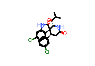 CC(C)C(=O)[C@@H]1NC(=O)C[C@@H](c2cccc(Cl)c2)[C@]12C(=O)Nc1cc(Cl)ccc12